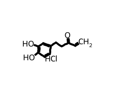 C=CC(=O)CCc1ccc(O)c(O)c1.Cl